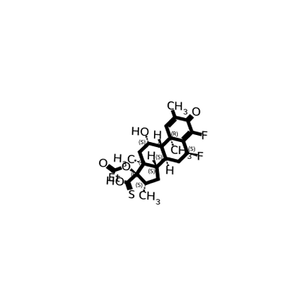 CCC(=O)O[C@]1(C(O)=S)[C@@H](C)C[C@H]2[C@@H]3C[C@H](F)C4=C(F)C(=O)C(C)=C[C@]4(C)[C@H]3[C@@H](O)C[C@@]21C